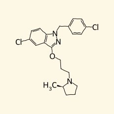 C[C@@H]1CCCN1CCCOc1nn(Cc2ccc(Cl)cc2)c2ccc(Cl)cc12